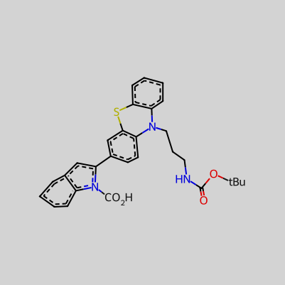 CC(C)(C)OC(=O)NCCCN1c2ccccc2Sc2cc(-c3cc4ccccc4n3C(=O)O)ccc21